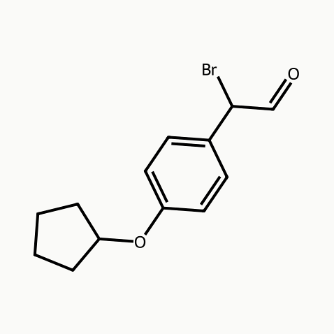 O=CC(Br)c1ccc(OC2CCCC2)cc1